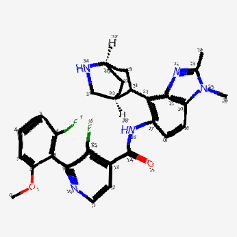 COc1cccc(F)c1-c1nccc(C(=O)Nc2ccc3c(nc(C)n3C)c2C2C[C@H]3C[C@@H]2CN3)c1F